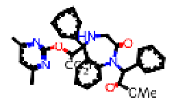 COC(=O)C(c1ccccc1)N1C(=O)CNC(c2ccccc2)(C(Oc2nc(C)cc(C)n2)C(=O)O)c2ccccc21